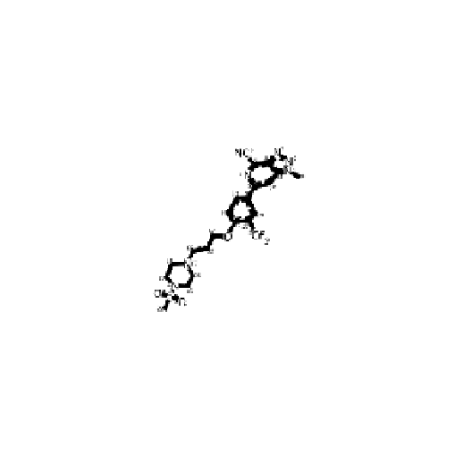 Cn1nnc2c(C#N)nc(-c3ccc(OCCCN4CCN(S(C)(=O)=O)CC4)c(C(F)(F)F)c3)cc21